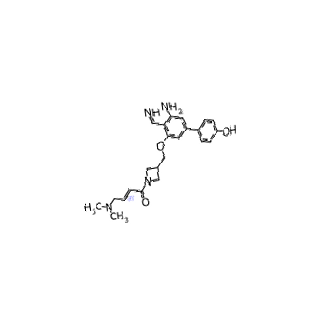 CN(C)C/C=C/C(=O)N1CC(COc2cc(-c3ccc(O)cc3)cc(N)c2C=N)C1